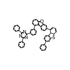 C1=CC2Sc3cc(-c4ccccc4)ccc3C2C(c2ccc3c(c2)oc2cccc(-c4cccc(-c5nc(-c6ccccc6)nc(-c6ccccc6)n5)c4)c23)=C1